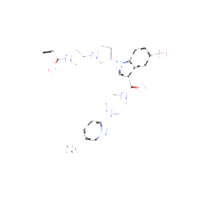 C=CC(=O)N1CC(N2CC[C@@H](n3c(C)c(C(=O)N4CCN(c5ccc(C#N)cn5)CC4)c4cc(Br)ccc43)C2)C1